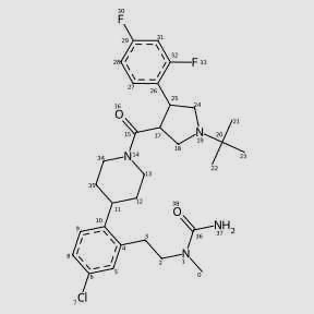 CN(CCc1cc(Cl)ccc1C1CCN(C(=O)C2CN(C(C)(C)C)CC2c2ccc(F)cc2F)CC1)C(N)=O